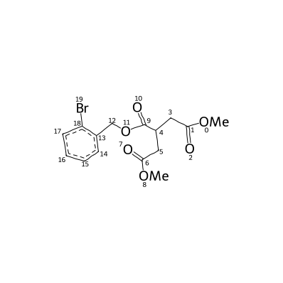 COC(=O)CC(CC(=O)OC)C(=O)OCc1ccccc1Br